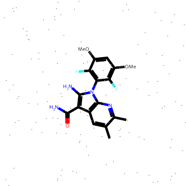 COc1cc(OC)c(F)c(-n2c(N)c(C(N)=O)c3cc(C)c(C)nc32)c1F